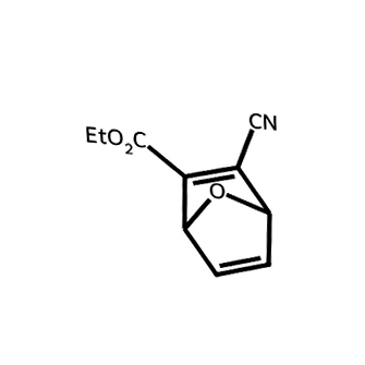 CCOC(=O)C1=C(C#N)C2C=CC1O2